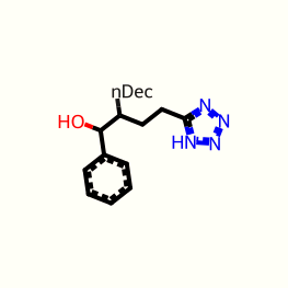 CCCCCCCCCCC(CCc1nnn[nH]1)C(O)c1ccccc1